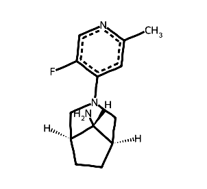 Cc1cc(N2C[C@H]3CC[C@@H](C2)[C@@H]3N)c(F)cn1